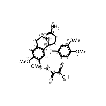 COc1ccc(C[C@@]2(CCC(N)=O)NCCc3cc(OC)c(OC)cc32)cc1OC.O=C(O)C(=O)O